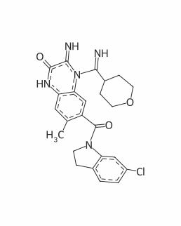 Cc1cc2[nH]c(=O)c(=N)n(C(=N)C3CCOCC3)c2cc1C(=O)N1CCc2ccc(Cl)cc21